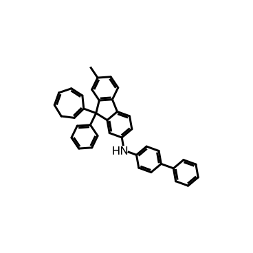 Cc1ccc2c(c1)C(C1=CCC=CC=C1)(c1ccccc1)c1cc(Nc3ccc(-c4ccccc4)cc3)ccc1-2